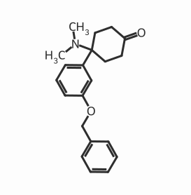 CN(C)C1(c2cccc(OCc3ccccc3)c2)CCC(=O)CC1